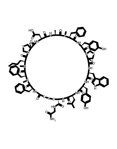 CCCC[C@H]1C(=O)N2CSC[C@@H]2C(=O)N[C@@H](CC(=O)O)C(=O)N[C@@H](C)C(=O)N(C)[C@@H](Cc2ccccc2)C(=O)N[C@@H](Cc2ccc(O)cc2)C(=O)N2CSC[C@@H]2C(=O)N[C@@H](Cc2c[nH]c3ccccc23)C(=O)N[C@@H](Cc2ccc(O)cc2)C(=O)N[C@@H](CC(C)C)C(=O)N[C@H](C(=O)NCC(N)=O)CSCC(=O)N[C@@H](Cc2ccccc2)C(=O)N(C)[C@@H](Cc2ccccc2)C(=O)N1C